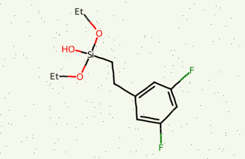 CCO[Si](O)(CCc1cc(F)cc(F)c1)OCC